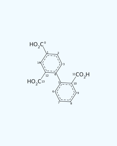 O=C(O)c1ccc(-c2ccccc2C(=O)O)c(C(=O)O)c1